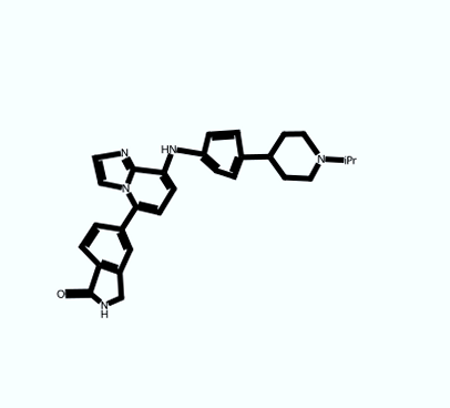 CC(C)N1CCC(c2ccc(Nc3ccc(-c4ccc5c(c4)CNC5=O)n4ccnc34)cc2)CC1